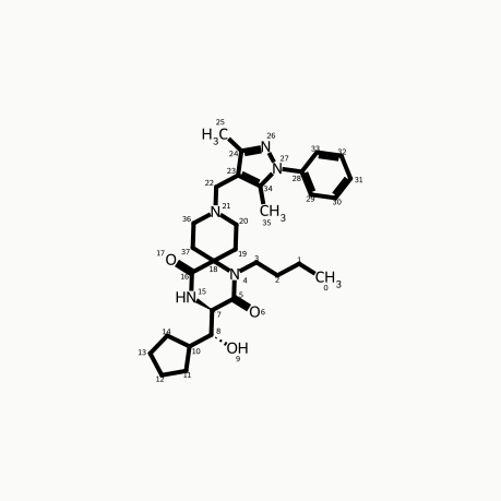 CCCCN1C(=O)[C@@H]([C@H](O)C2CCCC2)NC(=O)C12CCN(Cc1c(C)nn(-c3ccccc3)c1C)CC2